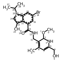 COC1NC(CO)=CC(C)=C1CNC(=O)c1cc(Br)cc2c1c(C)cn2C(C)C